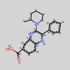 CC1CCCCN1c1nc2cc(C(=O)O)ccc2nc1-c1ccccc1